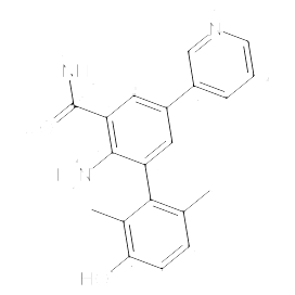 Cc1ccc(O)c(C)c1-c1cc(-c2cccnc2)cc(C(N)=O)c1N